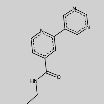 CCNC(=O)c1ccnc(-c2cncnc2)c1